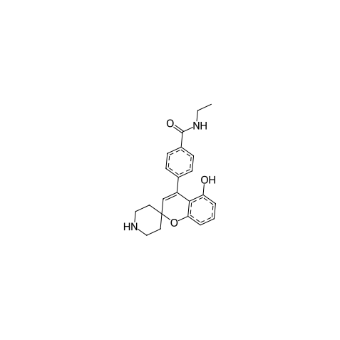 CCNC(=O)c1ccc(C2=CC3(CCNCC3)Oc3cccc(O)c32)cc1